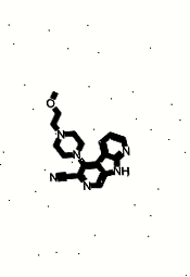 COCCN1CCN(c2c(C#N)ncc3[nH]c4ncccc4c23)CC1